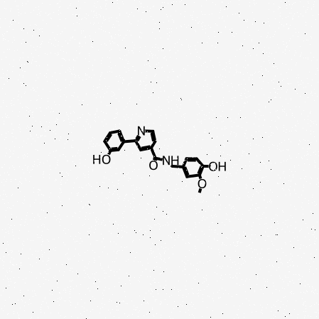 COc1cc(CNC(=O)c2ccnc(-c3cccc(O)c3)c2)ccc1O